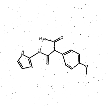 COc1ccc(C(C(N)=O)C(=O)Nc2ncc[nH]2)cc1